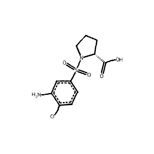 Nc1cc(S(=O)(=O)N2CCC[C@@H]2C(=O)O)ccc1Cl